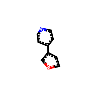 [c]1occc1-c1ccncc1